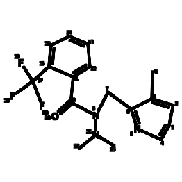 Cc1cccnc1CN(C(=O)c1ccccc1C(F)(F)F)N(C)C